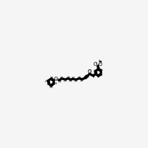 COC(=O)c1cccc(CC(=O)C#CCCCCCCCCCOc2ccccc2)c1